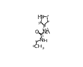 CCNC(=O)N[C@H]1CCNC1